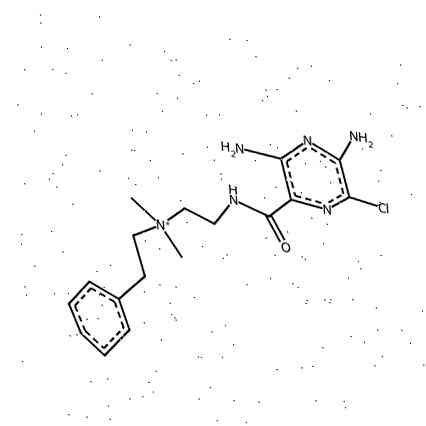 C[N+](C)(CCNC(=O)c1nc(Cl)c(N)nc1N)CCc1ccccc1